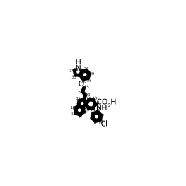 O=C(O)C1(Nc2cccc(Cl)c2)CCC2(CC1)c1ccccc1CC2CCCOc1cccc2c1CCN2